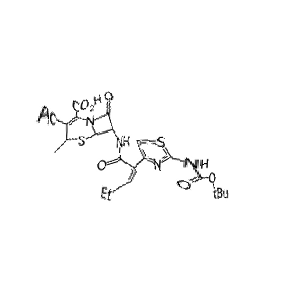 CC/C=C(\C(=O)NC1C(=O)N2C(C(=O)O)=C(C(C)=O)C(C)SC12)c1csc(NC(=O)OC(C)(C)C)n1